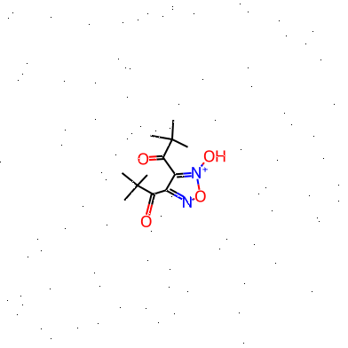 CC(C)(C)C(=O)c1no[n+](O)c1C(=O)C(C)(C)C